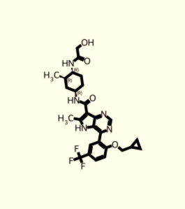 Cc1[nH]c2c(-c3cc(C(F)(F)F)ccc3OCC3CC3)ncnc2c1C(=O)N[C@@H]1CC[C@@H](NC(=O)CO)[C@H](C)C1